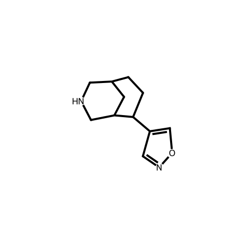 c1nocc1C1CCC2CNCC1C2